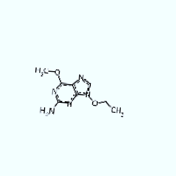 CCOn1cnc2c(OC)nc(N)nc21